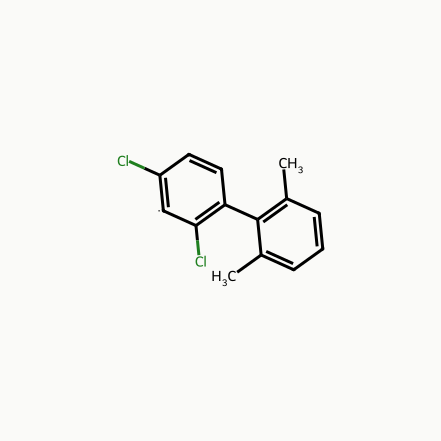 Cc1cccc(C)c1-c1ccc(Cl)[c]c1Cl